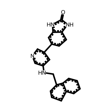 O=c1[nH]c2ccc(-c3cncc(NCc4cccc5ccccc45)c3)cc2[nH]1